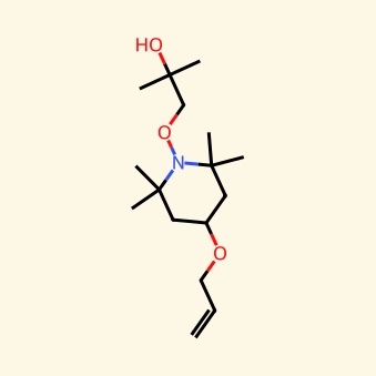 C=CCOC1CC(C)(C)N(OCC(C)(C)O)C(C)(C)C1